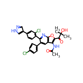 CC(=O)Nc1c(C(=O)C(C)(C)O)oc2nc(-c3ccc(-c4cn[nH]c4)cc3Cl)c(-c3ccc(Cl)cc3)cc12